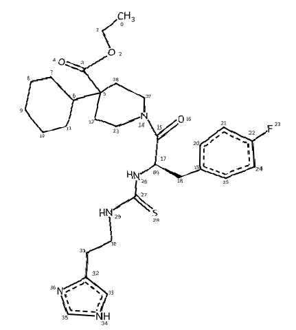 CCOC(=O)C1(C2CCCCC2)CCN(C(=O)[C@@H](Cc2ccc(F)cc2)NC(=S)NCCc2c[nH]cn2)CC1